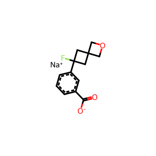 O=C([O-])c1cccc(C2(F)CC3(COC3)C2)c1.[Na+]